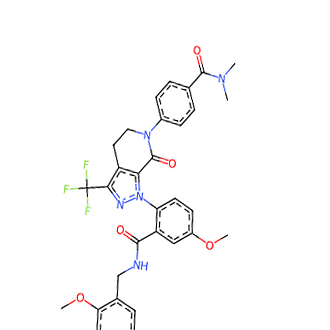 COc1ccc(-n2nc(C(F)(F)F)c3c2C(=O)N(c2ccc(C(=O)N(C)C)cc2)CC3)c(C(=O)NCc2ccccc2OC)c1